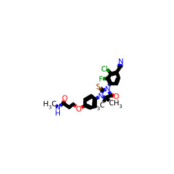 CNC(=O)CCOc1ccc(N2C(=S)N(c3ccc(C#N)c(Cl)c3F)C(=O)C2(C)C)cc1